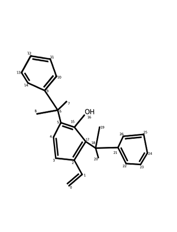 C=Cc1ccc(C(C)(C)c2ccccc2)c(O)c1C(C)(C)c1ccccc1